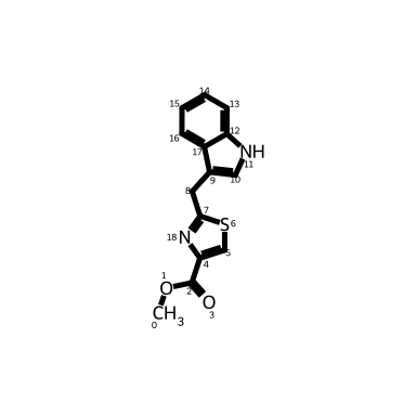 COC(=O)c1csc(Cc2c[nH]c3ccccc23)n1